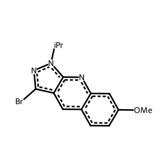 COc1ccc2cc3c(Br)nn(C(C)C)c3nc2c1